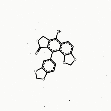 O=C1OCc2c1c(-c1ccc3c(c1)OCO3)c1c3c(ccc1c2O)OCO3